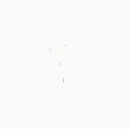 CC(=O)CC(C)C(=S)N(CC(=O)O)c1ncccn1